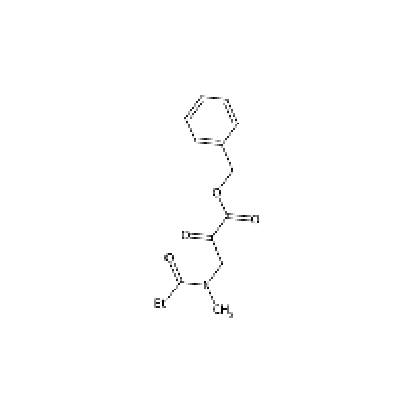 CCC(=O)N(C)CC(=O)C(=O)OCc1ccccc1